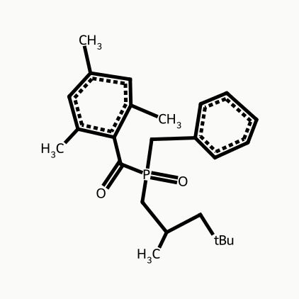 Cc1cc(C)c(C(=O)P(=O)(Cc2ccccc2)CC(C)CC(C)(C)C)c(C)c1